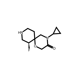 O=C1COC2(CCNC[C@@H]2F)CN1C1CC1